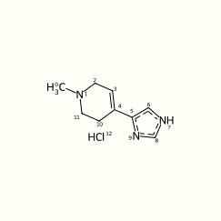 CN1CC=C(c2c[nH]cn2)CC1.Cl